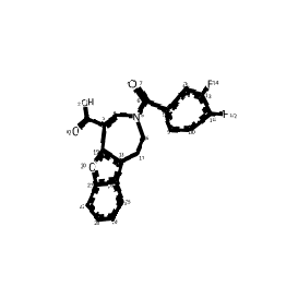 O=C(O)C1=CN(C(=O)c2ccc(F)c(F)c2)CCc2c1oc1ccccc21